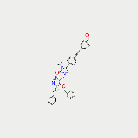 CC(C)N1C(=O)N(Cc2ncnc(OCc3ccccc3)c2OCc2ccccc2)CC1c1ccc(C#Cc2ccc(C=O)cc2)cc1